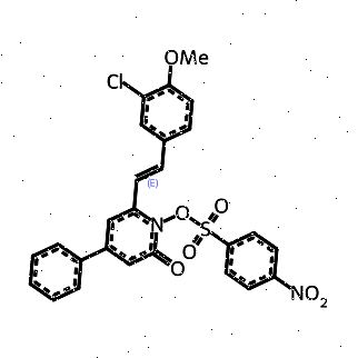 COc1ccc(/C=C/c2cc(-c3ccccc3)cc(=O)n2OS(=O)(=O)c2ccc([N+](=O)[O-])cc2)cc1Cl